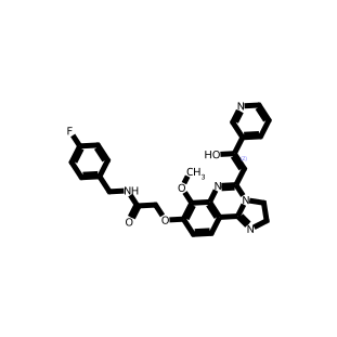 COc1c(OCC(=O)NCc2ccc(F)cc2)ccc2c1N=C(/C=C(\O)c1cccnc1)N1CCN=C21